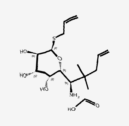 C=CCS[C@H]1O[C@H]([C@H](N)C(C)(C)CC=C)[C@H](O)[C@H](O)[C@H]1O.O=CO